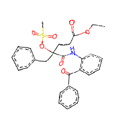 CCOC(=O)CCC(Cc1ccccc1)(OS(C)(=O)=O)C(=O)Nc1ccccc1C(=O)c1ccccc1